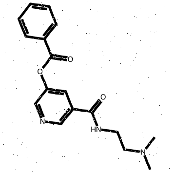 CN(C)CCNC(=O)c1cncc(OC(=O)c2ccccc2)c1